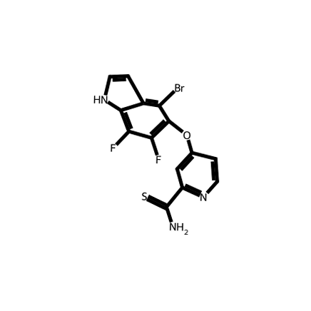 NC(=S)c1cc(Oc2c(F)c(F)c3[nH]ccc3c2Br)ccn1